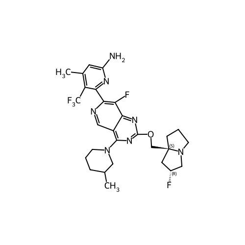 Cc1cc(N)nc(-c2ncc3c(N4CCCC(C)C4)nc(OC[C@@]45CCCN4C[C@H](F)C5)nc3c2F)c1C(F)(F)F